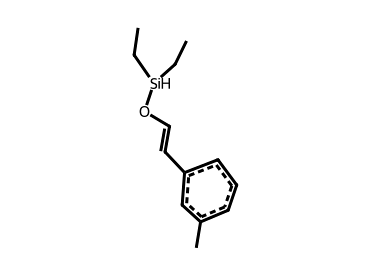 CC[SiH](CC)OC=Cc1cccc(C)c1